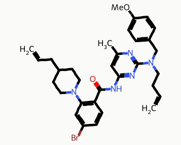 C=CCCN(Cc1ccc(OC)cc1)c1nc(C)cc(NC(=O)c2ccc(Br)cc2N2CCC(CC=C)CC2)n1